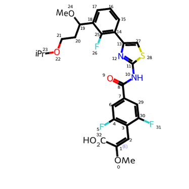 CO/C(=C/c1c(F)cc(C(=O)Nc2nc(-c3cccc(C(CCOC(C)C)OC)c3F)cs2)cc1F)C(=O)O